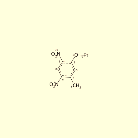 CCOc1cc(C)c([N+](=O)[O-])cc1[N+](=O)[O-]